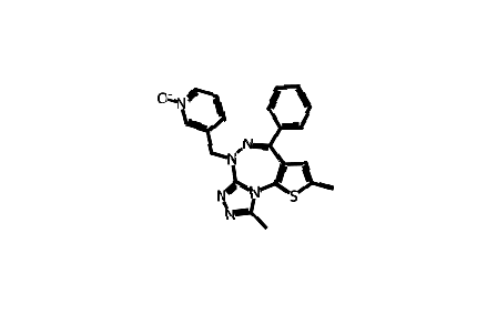 Cc1cc2c(s1)-n1c(C)nnc1N(Cc1ccc[n+]([O-])c1)N=C2c1ccccc1